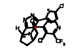 O=C(c1ccnc(C(F)(F)F)c1Cl)N1C2CC[C@@H]1c1nnc(-c3ccc(Cl)s3)n1C2